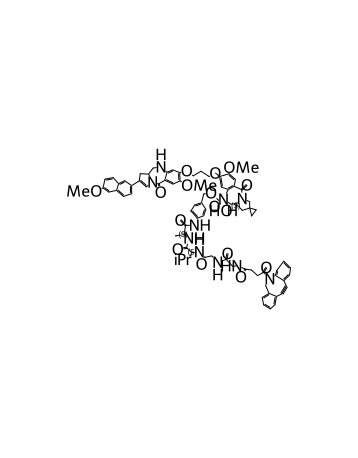 COc1ccc2cc(C3=CN4C(=O)c5cc(OC)c(OCCCOc6cc7c(cc6OC)C(=O)N6CC8(CC8)C[C@H]6C(O)N7C(=O)OCc6ccc(NC(=O)[C@H](C)NC(=O)[C@@H](NC(=O)CNC(=O)CNC(=O)CCC(=O)N7Cc8ccccc8C#Cc8ccccc87)C(C)C)cc6)cc5NCC4C3)ccc2c1